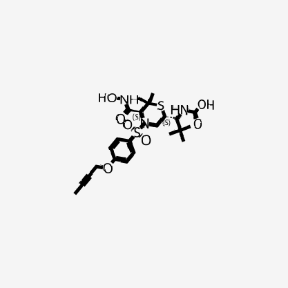 CC#CCOc1ccc(S(=O)(=O)N2C[C@@H](C(NC(=O)O)C(C)(C)C)SC(C)(C)[C@@H]2C(=O)NO)cc1